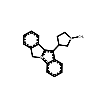 CN1CCC(c2c3n(c4ccccc24)Cc2ccccc2-3)C1